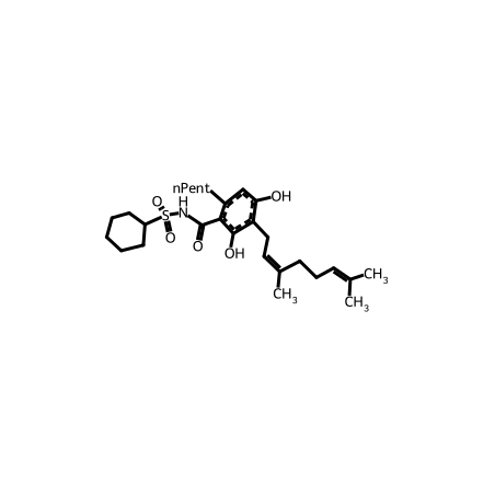 CCCCCc1cc(O)c(CC=C(C)CCC=C(C)C)c(O)c1C(=O)NS(=O)(=O)C1CCCCC1